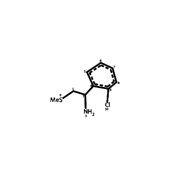 CSCC(N)c1ccccc1Cl